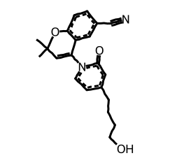 CC1(C)C=C(n2ccc(CCCCO)cc2=O)c2cc(C#N)ccc2O1